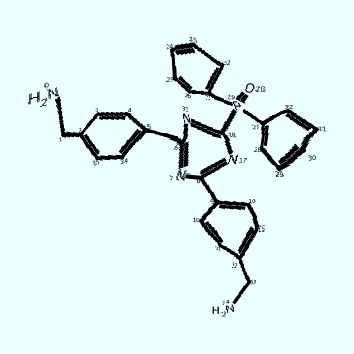 NCc1ccc(-c2nc(-c3ccc(CN)cc3)nc(P(=O)(c3ccccc3)c3ccccc3)n2)cc1